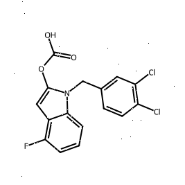 O=C(O)Oc1cc2c(F)cccc2n1Cc1ccc(Cl)c(Cl)c1